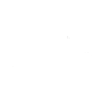 CCC(C)c1ccc(-c2cc3scc(CC(=O)O)n3c2)cc1